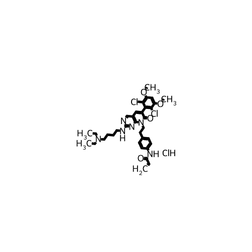 C=CC(=O)Nc1ccc(CCn2c(=O)c(-c3c(Cl)c(OC)cc(OC)c3Cl)cc3cnc(NCCCCN(CC)CC)nc32)cc1.Cl